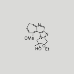 CCOCc1nc2cnc3c(c2n1CC(C)(C)O)=C(OC)C=CCC=3